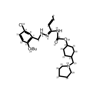 C/C=C/C(=N\NCc1cc(Cl)ccc1OCC(C)C)NC(=O)OC1CCC(CN2CCCCC2)CC1